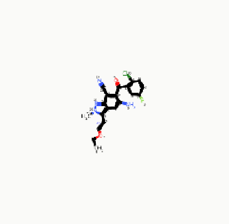 CCO/C=C/c1c2cc(N)c(C(=O)c3cc(F)ccc3Cl)c(C#N)c2nn1C